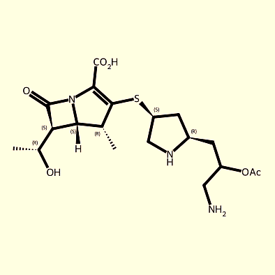 CC(=O)OC(CN)C[C@@H]1C[C@H](SC2=C(C(=O)O)N3C(=O)[C@H]([C@@H](C)O)[C@H]3[C@H]2C)CN1